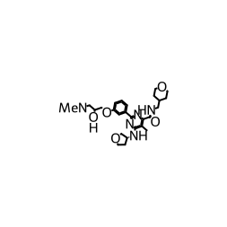 CNCC(O)COc1cccc(-c2nc(N[C@@H]3CCOC3)c(C)c(C(=O)NCC3CCOCC3)n2)c1